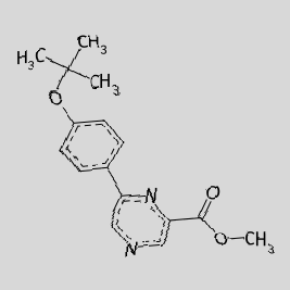 COC(=O)c1cncc(-c2ccc(OC(C)(C)C)cc2)n1